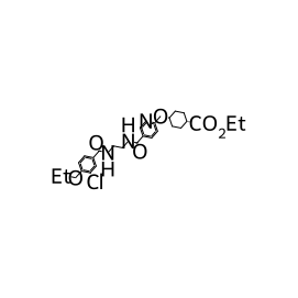 CCOc1ccc(C(=O)NCCNC(=O)c2ccc(O[C@H]3CC[C@@H](C(=O)OCC)CC3)nc2)cc1Cl